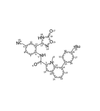 Cn1c(C(=O)Nc2ccc(C#N)cc2-c2noc(=O)[nH]2)cc2cccc(-c3ccc(C(C)(C)C)cc3)c21